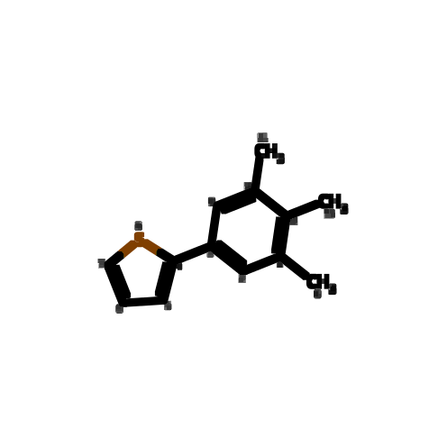 Cc1cc(-c2cccs2)cc(C)c1C